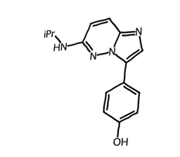 CC(C)Nc1ccc2ncc(-c3ccc(O)cc3)n2n1